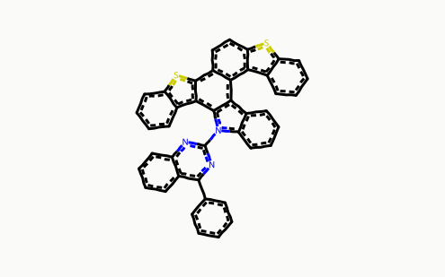 c1ccc(-c2nc(-n3c4ccccc4c4c5c(ccc6sc7ccccc7c65)c5sc6ccccc6c5c43)nc3ccccc23)cc1